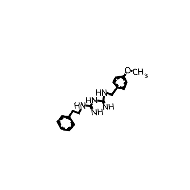 COc1ccc(CNC(=N)NC(=N)NCCc2ccccc2)cc1